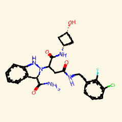 NC(=O)C1c2ccccc2NN1C(CC(=O)NCc1cccc(Cl)c1F)C(=O)N[C@H]1C[C@@H](O)C1